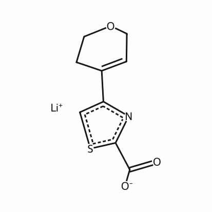 O=C([O-])c1nc(C2=CCOCC2)cs1.[Li+]